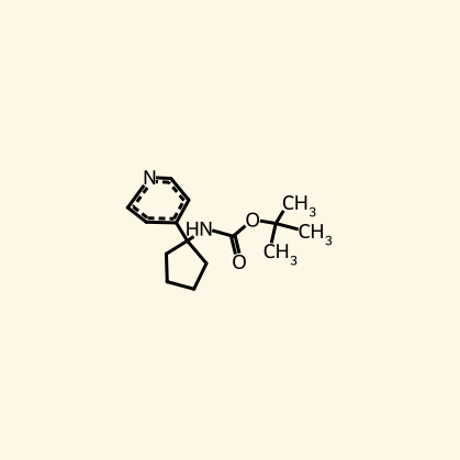 CC(C)(C)OC(=O)NC1(c2ccncc2)CCCC1